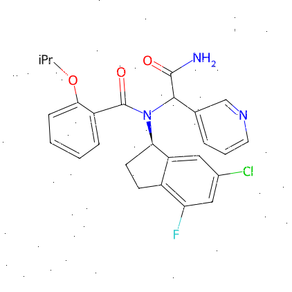 CC(C)Oc1ccccc1C(=O)N(C(C(N)=O)c1cccnc1)[C@@H]1CCc2c(F)cc(Cl)cc21